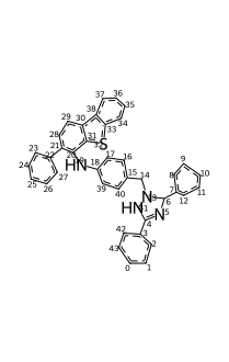 c1ccc(C2=NC(c3ccccc3)N(Cc3ccc(Nc4c(-c5ccccc5)ccc5c4sc4ccccc45)cc3)N2)cc1